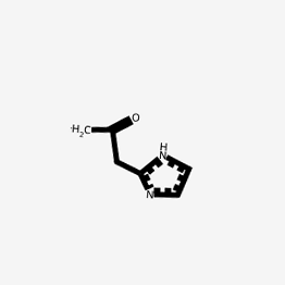 [CH2]C(=O)Cc1ncc[nH]1